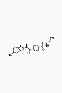 N#CCCNS(=O)(=O)c1ccc(C(=O)Nc2nc3ccc(O)cc3s2)cc1